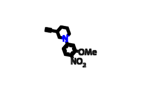 C#CC1CCCN(c2ccc([N+](=O)[O-])c(OC)c2)C1